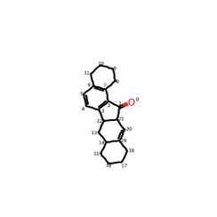 O=C1c2c(ccc3c2CCCC3)C2CC3CCCCC3=CC12